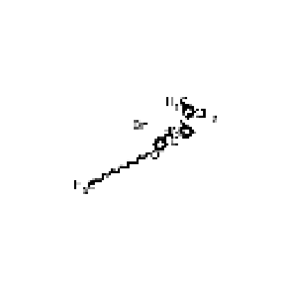 CCCCCCCCCCCCCCOc1ccc(CC(=O)Nc2ccccc2C[n+]2cc(C)cc(C)c2)cc1.[Br-]